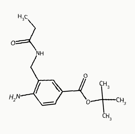 CCC(=O)NCc1cc(C(=O)OC(C)(C)C)ccc1N